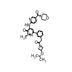 CC(C)OC1CN(C(=O)Cc2cccc(-c3cc(Nc4ccc(C(=O)N5CCOCC5)cn4)c(=O)n(C)n3)c2)C1